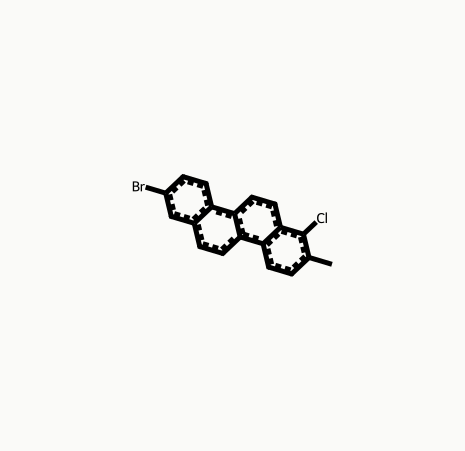 Cc1ccc2c(ccc3c4ccc(Br)cc4ccc23)c1Cl